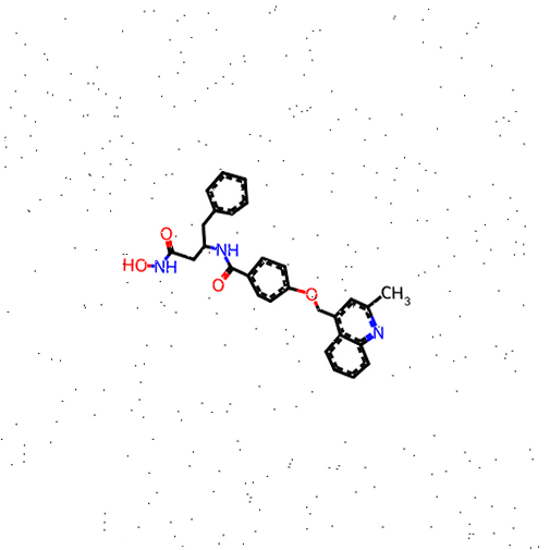 Cc1cc(COc2ccc(C(=O)NC(CC(=O)NO)Cc3ccccc3)cc2)c2ccccc2n1